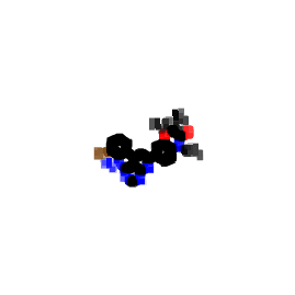 CN1C(=O)C(C)(C)Oc2cc(-c3cc(-c4cccc(Br)c4)c4c(N)ncnc4n3)ccc21